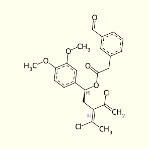 C=C(Cl)/C(C[C@H](OC(=O)Cc1cccc(C=O)c1)c1ccc(OC)c(OC)c1)=C(\C)Cl